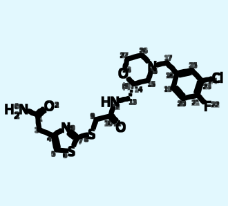 NC(=O)Cc1csc(SCC(=O)NC[C@H]2CN(Cc3ccc(F)c(Cl)c3)CCO2)n1